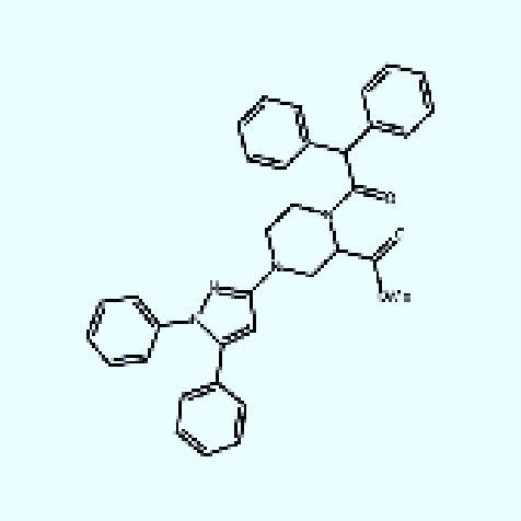 COC(=O)C1CN(c2cc(-c3ccccc3)n(-c3ccccc3)n2)CCN1C(=O)C(c1ccccc1)c1ccccc1